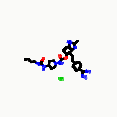 CCCCNC(=O)NC1CCN(NC(=O)Oc2ccc3[nH]c(C)nc3c2CCc2ccc(C(=N)N)cc2)CC1.Cl